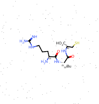 CC[C@H](C)[C@H](NC(=O)[C@@H](N)CCCNC(=N)N)C(=O)N[C@@H](CS)C(=O)O